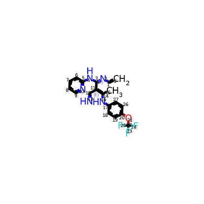 C=C/N=C(Nc1ccccn1)\C(C=N)=C(/C)Nc1ccc(OC(F)(F)F)cc1